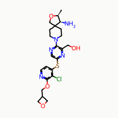 C[C@@H]1OCC2(CCN(c3ncc(Sc4ccnc(OCC5COC5)c4Cl)nc3CO)CC2)[C@@H]1N